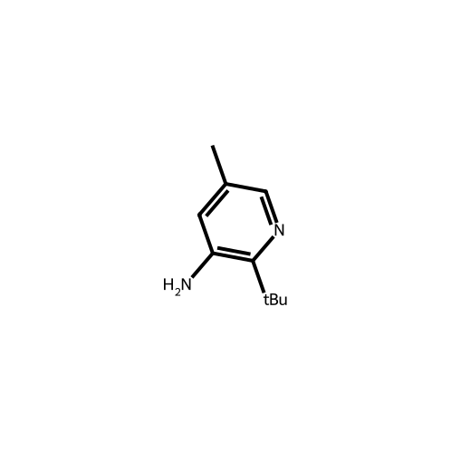 Cc1cnc(C(C)(C)C)c(N)c1